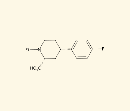 CCN1CC[C@H](c2ccc(F)cc2)C[C@@H]1C(=O)O